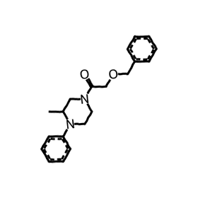 CC1CN(C(=O)COCc2ccccc2)CCN1c1ccccc1